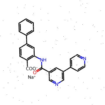 O=C(Nc1cc(-c2ccccc2)ccc1C(=O)[O-])c1cncc(-c2ccncc2)c1.[Na+]